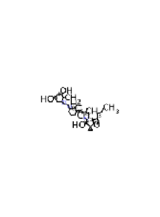 C=C1/C(=C\C=C2/CCC[C@]3(C)[C@@H]([C@H](C)/C=C/[C@@H](O)C4(c5cc(CCCC)co5)CC4)CC[C@@H]23)C[C@@H](O)C[C@@H]1O